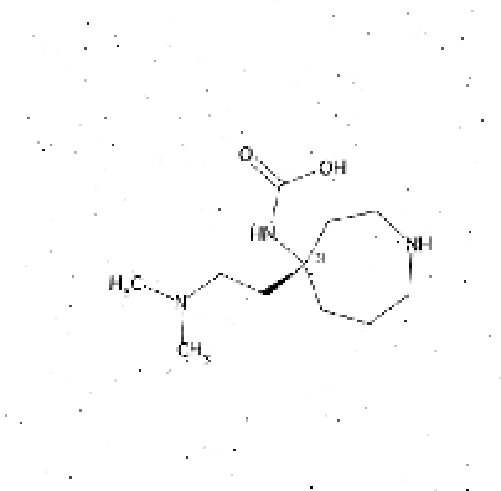 CN(C)CC[C@]1(NC(=O)O)CCCNCC1